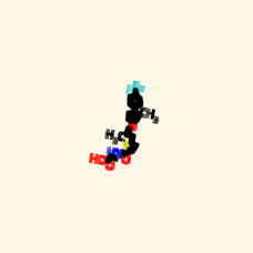 Cc1cc(OCC(C)Cc2ccc(C(=O)NCCC(=O)O)s2)ccc1-c1ccc(C(F)(F)F)cc1